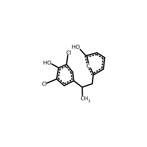 CC(Cc1cccc(O)c1)c1cc(Cl)c(O)c(Cl)c1